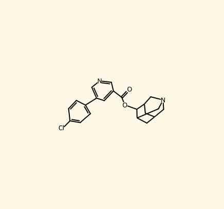 O=C(OC1C2CC3CC1CN(C3)C2)c1cncc(-c2ccc(Cl)cc2)c1